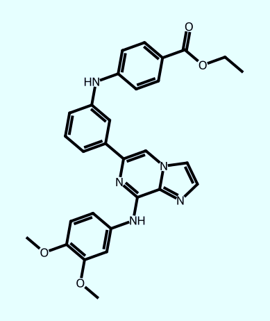 CCOC(=O)c1ccc(Nc2cccc(-c3cn4ccnc4c(Nc4ccc(OC)c(OC)c4)n3)c2)cc1